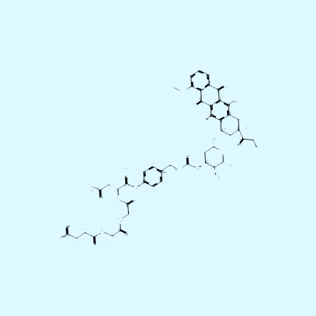 COc1cccc2c1C(=O)c1c(O)c3c(c(O)c1C2=O)C[C@@](O)(C(=O)CO)C[C@@H]3O[C@H]1C[C@H](NC(=O)OCc2ccc(NC(=O)[C@H](CC(N)=O)NC(=O)[C@H](C)NC(=O)[C@H](C)NC(=O)CCC(=O)O)cc2)[C@H](O)[C@H](C)O1